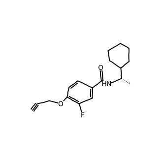 C#CCOc1ccc(C(=O)N[C@@H](C)C2CCCCC2)cc1F